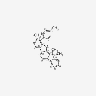 Cc1ccc(-c2c(C)ccc3c2oc2c4c(ccc23)-c2cccnc2C4(C)C)nc1